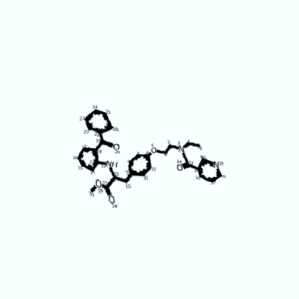 CCN(CCOc1ccc(CC(Nc2ccccc2C(=O)c2ccccc2)C(=O)OC)cc1)C(=O)c1cccnc1